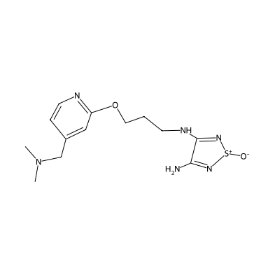 CN(C)Cc1ccnc(OCCCNc2n[s+]([O-])nc2N)c1